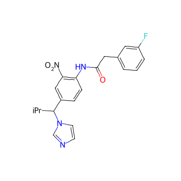 CC(C)C(c1ccc(NC(=O)Cc2cccc(F)c2)c([N+](=O)[O-])c1)n1ccnc1